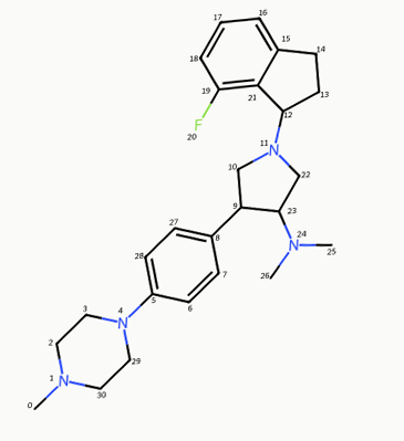 CN1CCN(c2ccc(C3CN(C4CCc5cccc(F)c54)CC3N(C)C)cc2)CC1